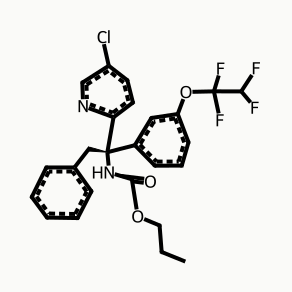 CCCOC(=O)N[C@@](Cc1ccccc1)(c1cccc(OC(F)(F)C(F)F)c1)c1ccc(Cl)cn1